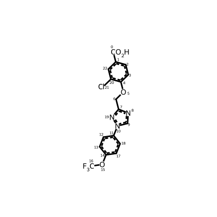 O=C(O)c1ccc(OCc2ncn(-c3ccc(OC(F)(F)F)cc3)n2)c(Cl)c1